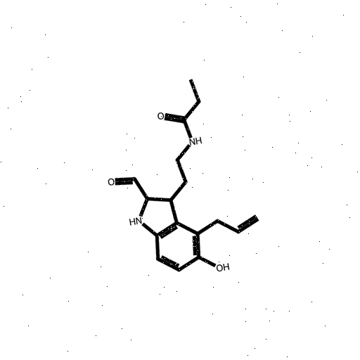 C=CCc1c(O)ccc2c1C(CCNC(=O)CC)C(C=O)N2